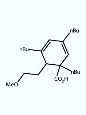 CCCCC1=CC(CCCC)(C(=O)O)C(CCOC)C(CCCC)=C1